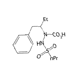 CCCS(=O)(=O)NN(C(=O)O)C(CC)Cc1ccccc1